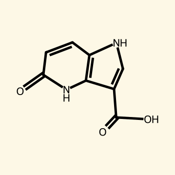 O=C(O)c1c[nH]c2ccc(=O)[nH]c12